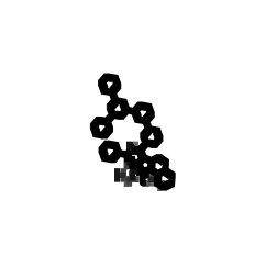 CC1(C)c2nc(-c3ccccc3)nc(-c3cccc(-c4cccc(-c5cc(-c6ccccc6)cc(-c6ccccc6)c5)c4)c3)c2-c2ccc3ccccc3c21